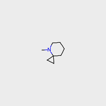 CN1CCCCC12CC2